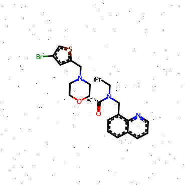 CC(C)CN(Cc1cccc2cccnc12)C(=O)[C@H]1CN(Cc2cc(Br)cs2)CCO1